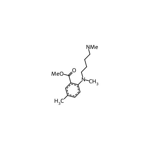 CNCCCCN(C)c1ccc(C)cc1C(=O)OC